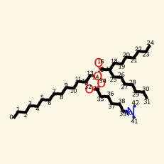 CCCCCCCCCCCCC(COC(=O)C(CCCCCCC)CCCCCCC)OC(=O)CCCCCN(C)C